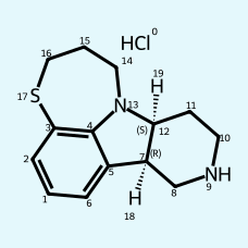 Cl.c1cc2c3c(c1)[C@@H]1CNCC[C@@H]1N3CCCS2